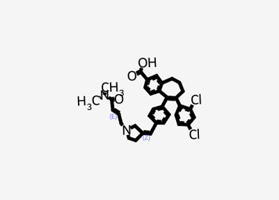 CN(C)C(=O)/C=C/CN1CC/C(=C/c2ccc(C3=C(c4ccc(Cl)cc4Cl)CCCc4cc(C(=O)O)ccc43)cc2)C1